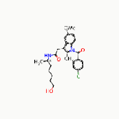 COc1ccc2c(c1)c(CC(=O)N[C@H](C)CCCCCO)c(C)n2C(=O)c1ccc(Cl)cc1